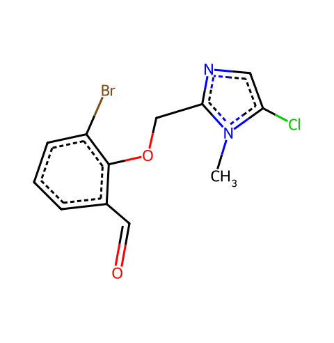 Cn1c(Cl)cnc1COc1c(Br)cccc1C=O